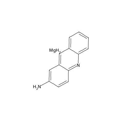 Nc1ccc2nc3ccccc3cc2c1.[MgH2]